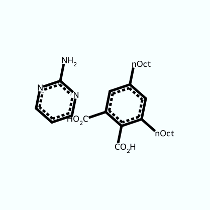 CCCCCCCCc1cc(CCCCCCCC)c(C(=O)O)c(C(=O)O)c1.Nc1ncccn1